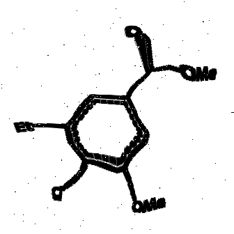 CCc1cc(C(=O)OC)cc(OC)c1Cl